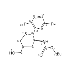 CC(C)(C)OC(=O)N[C@H]1CC(CO)CSC1c1cc(F)ccc1F